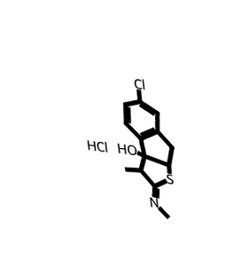 CN=C1SC2Cc3cc(Cl)ccc3C2(O)C1C.Cl